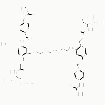 Cl.Cl.N=C(N)Nc1ccc(C(=O)Oc2ccc(CCC(=O)N[C@@H](CC(=O)O)C(=O)O)c(OCCOCCOCCOc3cc(OC(=O)c4ccc(NC(=N)N)cc4)ccc3CCC(=O)N[C@@H](CC(=O)O)C(=O)O)c2)cc1